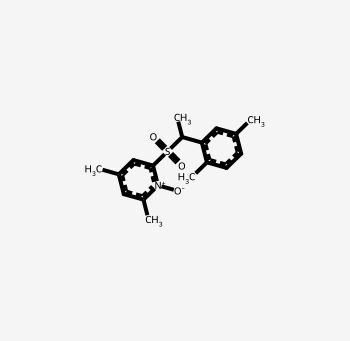 Cc1ccc(C)c(C(C)S(=O)(=O)c2cc(C)cc(C)[n+]2[O-])c1